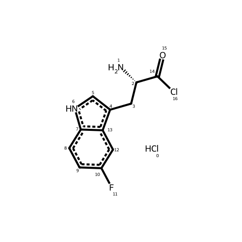 Cl.N[C@@H](Cc1c[nH]c2ccc(F)cc12)C(=O)Cl